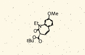 CCN1C(=O)[C@H](C(=O)OC(C)(C)C)C=Cc2ccc(OC)cc21